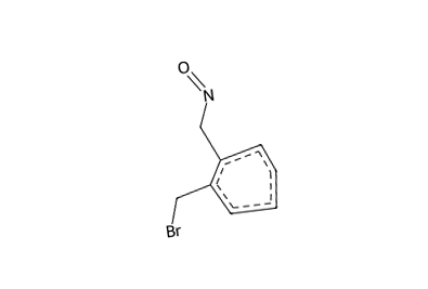 O=NCc1ccccc1CBr